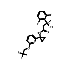 C[C@@](O)(CC(=O)NC1(c2cccc(OCC(F)(F)F)n2)CC1)c1c(F)cccc1F